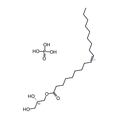 CCCCCCCC/C=C\CCCCCCCC(=O)OC[C@@H](O)CO.O=P(O)(O)O